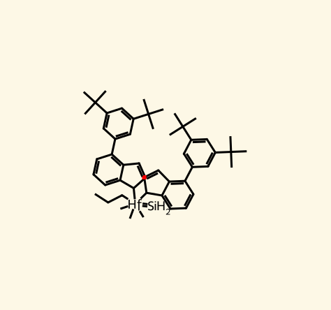 CC[CH2][Hf]([CH3])([CH3])([CH3])(=[SiH2])([CH]1C=Cc2c(-c3cc(C(C)(C)C)cc(C(C)(C)C)c3)cccc21)[CH]1C=Cc2c(-c3cc(C(C)(C)C)cc(C(C)(C)C)c3)cccc21